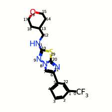 FC(F)(F)c1cccc(-c2cn3nc(NCC4CCOCC4)sc3n2)c1